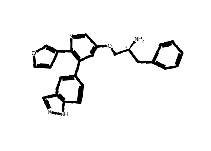 N[C@H](COc1cnc(-c2ccoc2)c(-c2ccc3[nH]ncc3c2)c1)Cc1ccccc1